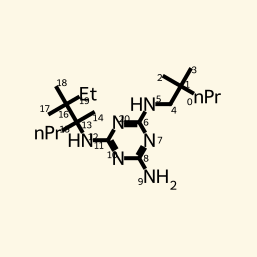 CCCC(C)(C)CNc1nc(N)nc(NC(C)(CCC)C(C)(C)CC)n1